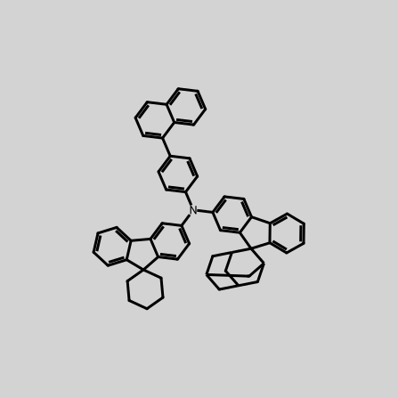 c1ccc2c(c1)-c1cc(N(c3ccc(-c4cccc5ccccc45)cc3)c3ccc4c(c3)C3(c5ccccc5-4)C4CC5CC(C4)CC3C5)ccc1C21CCCCC1